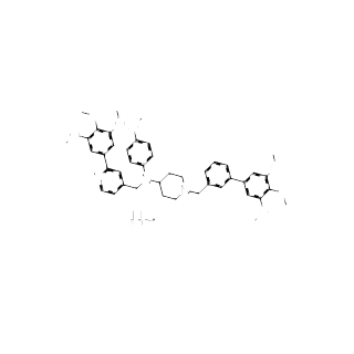 COc1ccc(N(Cc2ccnc(-c3cc(OC)c(OC)c(OC)c3)c2)C2CCN(Cc3cccc(-c4cc(OC)c(OC)c(OC)c4)c3)CC2)cc1.Cl.Cl